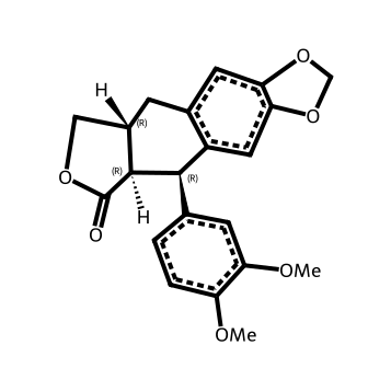 COc1ccc([C@@H]2c3cc4c(cc3C[C@H]3COC(=O)[C@@H]32)OCO4)cc1OC